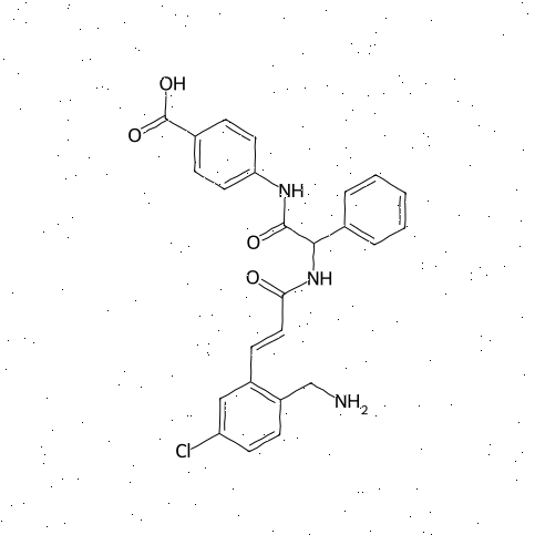 NCc1ccc(Cl)cc1/C=C/C(=O)NC(C(=O)Nc1ccc(C(=O)O)cc1)c1ccccc1